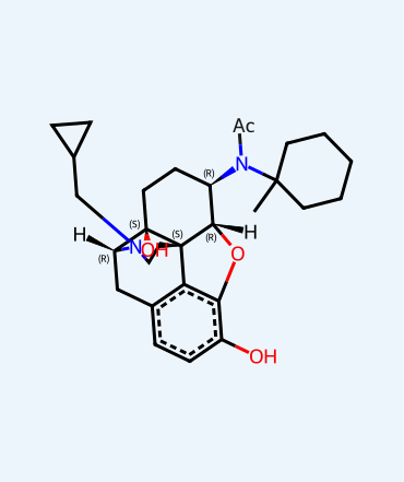 CC(=O)N([C@@H]1CC[C@@]2(O)[C@H]3Cc4ccc(O)c5c4[C@@]2(CCN3CC2CC2)[C@H]1O5)C1(C)CCCCC1